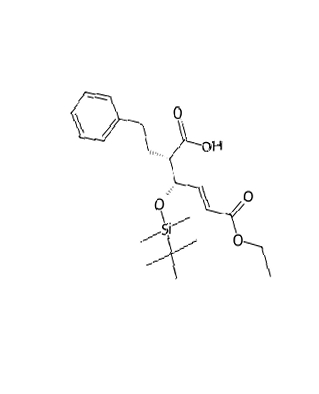 CCOC(=O)C=C[C@H](O[Si](C)(C)C(C)(C)C)[C@H](CCc1ccccc1)C(=O)O